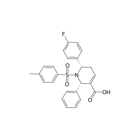 Cc1ccc(S(=O)(=O)N2[C@@H](c3ccccc3)C(C(=O)O)=CC[C@H]2c2ccc(F)cc2)cc1